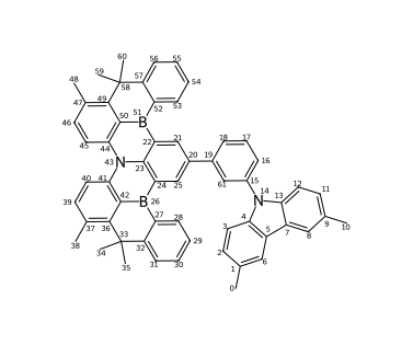 Cc1ccc2c(c1)c1cc(C)ccc1n2-c1cccc(-c2cc3c4c(c2)B2c5ccccc5C(C)(C)c5c(C)ccc(c52)N4c2ccc(C)c4c2B3c2ccccc2C4(C)C)c1